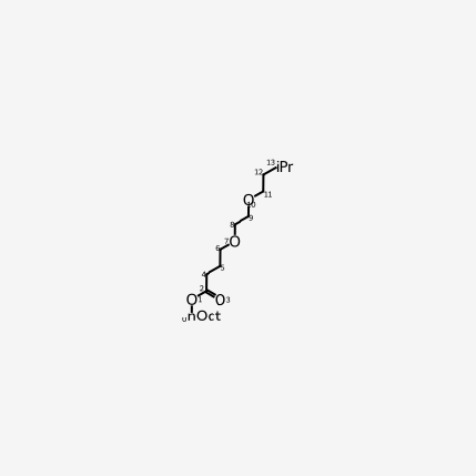 CCCCCCCCOC(=O)CCCOCCOCCC(C)C